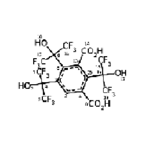 O=C(O)c1cc(C(O)(C(F)(F)F)C(F)(F)F)c(C(O)(C(F)(F)F)C(F)(F)F)c(C(=O)O)c1C(O)(C(F)(F)F)C(F)(F)F